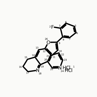 Cl.Cl.Fc1ccccc1-c1ccc(/C=C2/CCCN=C2c2cccnc2)o1